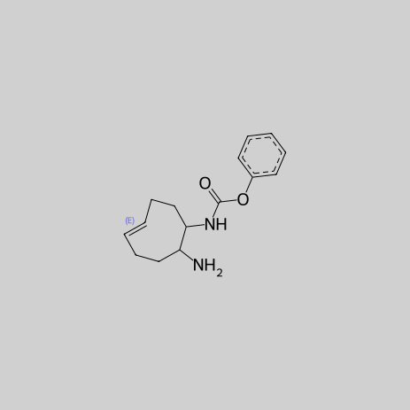 NC1CC/C=C/CCC1NC(=O)Oc1ccccc1